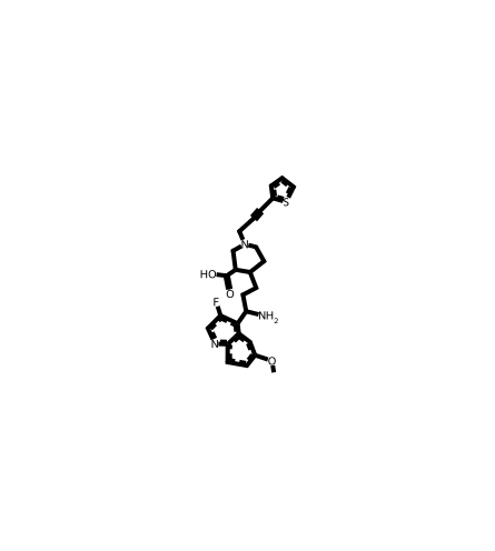 COc1ccc2ncc(F)c(C(N)CCC3CCN(CC#Cc4cccs4)CC3C(=O)O)c2c1